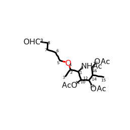 CC(=O)NC(C(C)OCCCCC=O)C(OC(C)=O)C(OC(C)=O)C(C)COC(C)=O